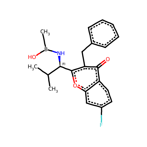 CB(O)N[C@@H](c1oc2cc(F)ccc2c(=O)c1Cc1ccccc1)C(C)C